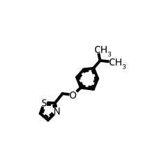 CC(C)c1ccc(OCc2nccs2)cc1